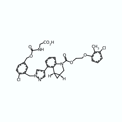 Cc1c(Cl)cccc1OCCOC(=O)N1C[C@@H]2C[C@@H]2c2c(-c3cnn(Cc4cc(COC(=O)NCC(=O)O)ccc4Cl)c3)cccc21